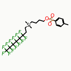 Cc1ccc(S(=O)(=O)OCCCC[Si](C)(C)CCC(F)(F)C(F)(F)C(F)(F)C(F)(F)C(F)(F)C(F)(F)F)cc1